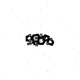 CCC[C@]1(C)[C@H]2CC[C@@]3(C)[C@@H](CCC34OCCO4)[C@@H]2CCC12OCCO2